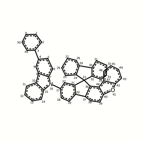 c1ccc(-c2ccc3c(c2)c2ccccc2n3-c2ccc3c(c2)C2(c4ccccc4-c4ccccc42)c2c-3ccc3oc4ccccc4c23)cc1